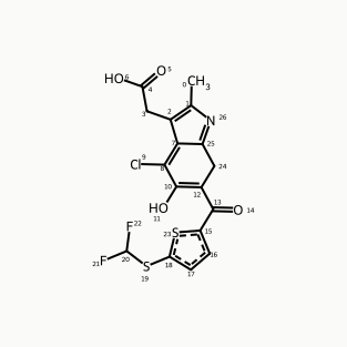 CC1=C(CC(=O)O)C2=C(Cl)C(O)=C(C(=O)c3ccc(SC(F)F)s3)CC2=N1